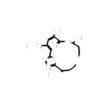 CCC1CCCCC[C@](O)(C(F)(F)F)c2nnc(o2)-c2nc(c(C(F)(F)F)cc2N)O1